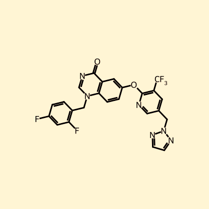 O=c1ncn(Cc2ccc(F)cc2F)c2ccc(Oc3ncc(Cn4nccn4)cc3C(F)(F)F)cc12